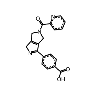 O=C(O)c1ccc(C2=NCC3=C2CN(C(=O)c2ccccn2)C3)cc1